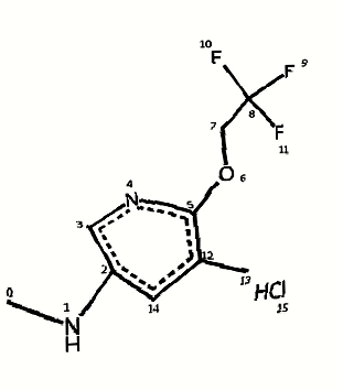 CNc1cnc(OCC(F)(F)F)c(C)c1.Cl